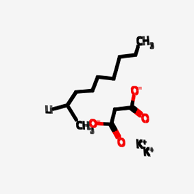 O=C([O-])CC(=O)[O-].[K+].[K+].[Li][CH](C)CCCCCCC